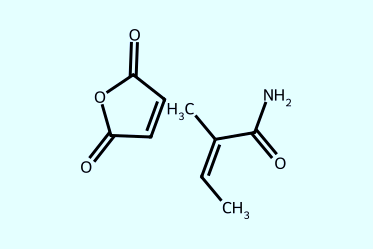 CC=C(C)C(N)=O.O=C1C=CC(=O)O1